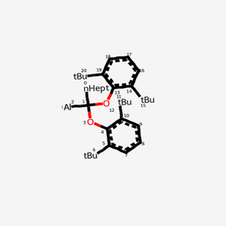 CCCCCCC[C]([Al])(Oc1c(C(C)(C)C)cccc1C(C)(C)C)Oc1c(C(C)(C)C)cccc1C(C)(C)C